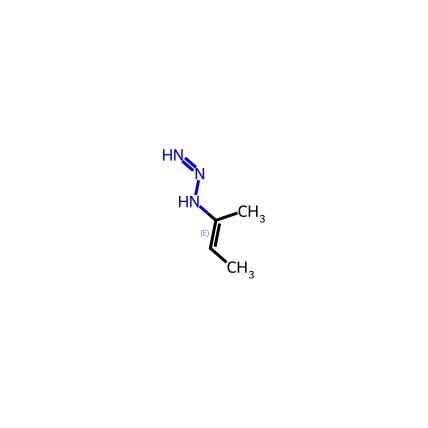 C/C=C(\C)NN=N